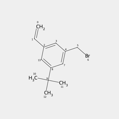 C=Cc1cc(CBr)cc(C(C)(C)C)c1